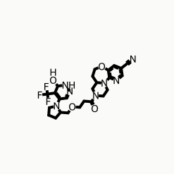 N#Cc1cnc2c(c1)OCCC1CN(C(=O)CCOCC3CCCN3C3=C(C(F)(F)F)C(O)NN=C3)CCN21